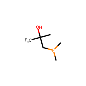 CP(C)CC(C)(O)C(F)(F)F